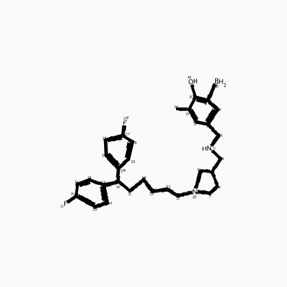 Bc1cc(CNCC2CCN(CCCCCC(c3ccc(F)cc3)c3ccc(F)cc3)C2)cc(C)c1O